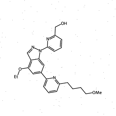 CCOc1cc(-c2cccc(CCCCOC)n2)cc2c1cnn2-c1cccc(CO)n1